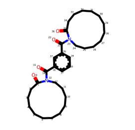 O=C1CCCCCCCCCCCN1C(=O)c1cccc(C(=O)N2CCCCCCCCCCCC2=O)c1